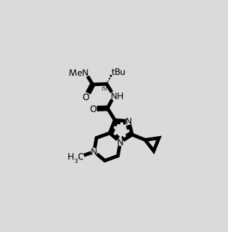 CNC(=O)[C@@H](NC(=O)c1nc(C2CC2)n2c1CN(C)CC2)C(C)(C)C